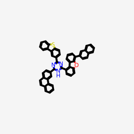 c1ccc2cc(-c3cccc4c3oc3cccc(C5=NC(c6ccc7sc8ccccc8c7c6)=NC(c6ccc7ccc8ccccc8c7c6)N5)c34)ccc2c1